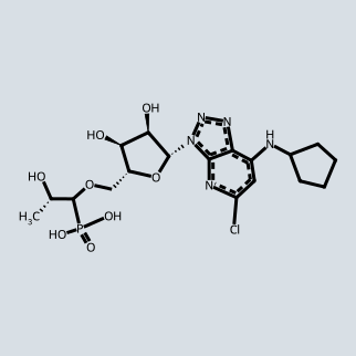 C[C@H](O)C(OC[C@H]1O[C@@H](n2nnc3c(NC4CCCC4)cc(Cl)nc32)[C@H](O)[C@@H]1O)P(=O)(O)O